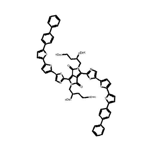 CCCCCCCCCCCCC(CCCCCCCCCC)CN1C(=O)C2=C(c3ncc(-c4ccc(-c5ccc(-c6ccc(-c7ccccc7)cc6)s5)s4)s3)N(CC(CCCCCCCCCC)CCCCCCCCCCCC)C(=O)C2=C1c1ncc(-c2ccc(-c3ccc(-c4ccc(-c5ccccc5)cc4)s3)s2)s1